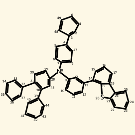 c1ccc(-c2ccc(N(c3cccc(-c4cccc5c4sc4ccccc45)c3)c3ccc(-c4ccccc4)c(-c4ccccc4)c3)cc2)cc1